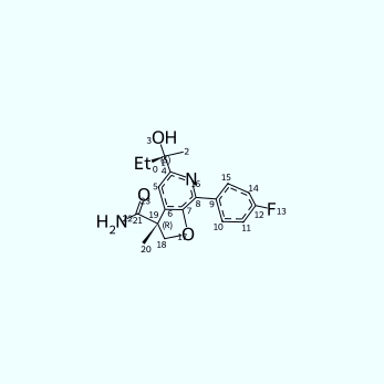 CC[C@](C)(O)c1cc2c(c(-c3ccc(F)cc3)n1)OC[C@]2(C)C(N)=O